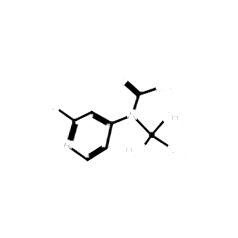 CC(=O)N(c1ccnc(Br)c1)C(C)(C)C